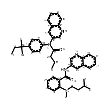 CC(C)CCN(C)c1ccccc1C(=O)Nc1cnc2ccccc2c1.CCCC(=O)N(c1ccc(C(C)(C)CC)cc1)c1cnc2ccccc2c1